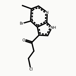 Cc1cnc2[nH]cc(C(=O)CCCl)c2c1Br